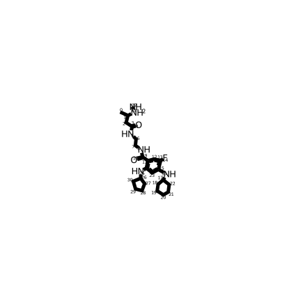 CC(CC(=O)NCCNC(=O)c1cc(F)c(NC2CCCCC2)cc1NC1CCCC1)NN